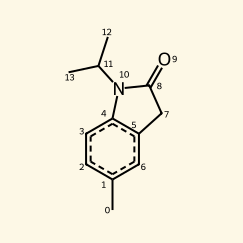 Cc1ccc2c(c1)CC(=O)N2C(C)C